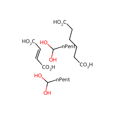 CCCCCC(O)O.CCCCCC(O)O.O=C(O)/C=C/C(=O)O.O=C(O)CCCCC(=O)O